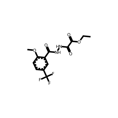 CCOC(=O)C(=O)NNC(=O)c1cc(C(F)(F)F)ccc1OC